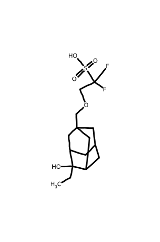 CCC1(O)C2CC3CC1CC(COCC(F)(F)S(=O)(=O)O)(C3)C2